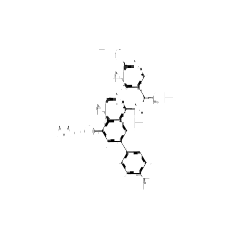 COc1cc(-c2ccc(F)cc2)cc2c(N[C@H](C)c3cnc(C(F)(F)F)nc3)ncnc12